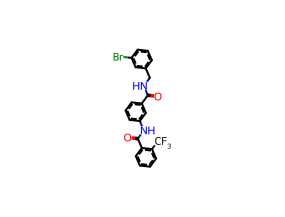 O=C(NCc1cccc(Br)c1)c1cccc(NC(=O)c2ccccc2C(F)(F)F)c1